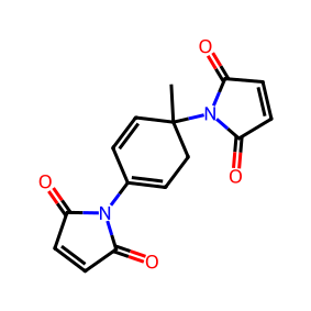 CC1(N2C(=O)C=CC2=O)C=CC(N2C(=O)C=CC2=O)=CC1